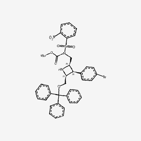 CC(C)(C)OC(=O)N(C[C@@H]1N[C@H](COC(c2ccccc2)(c2ccccc2)c2ccccc2)[C@@H]1c1ccc(Br)cc1)S(=O)(=O)c1ccccc1[N+](=O)[O-]